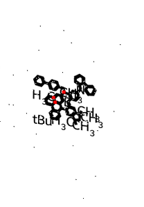 Cc1cc(C)c2c(c1)C(c1ccc(C(C)(C)C)cc1-c1ccccc1)c1cc3c(cc1B2c1ccc(-n2c4ccccc4c4ccccc42)cc1CCc1ccc(-c2ccccc2)cc1)C(C)(C)CC3(C)C